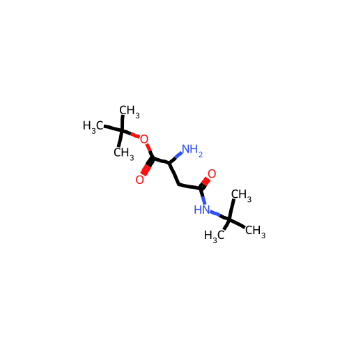 CC(C)(C)NC(=O)CC(N)C(=O)OC(C)(C)C